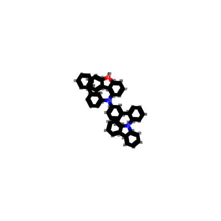 c1ccc(-c2cccc(N(c3cccc(-c4ccccc4-n4c5ccccc5c5ccccc54)c3)c3cccc4oc5ccccc5c34)c2)cc1